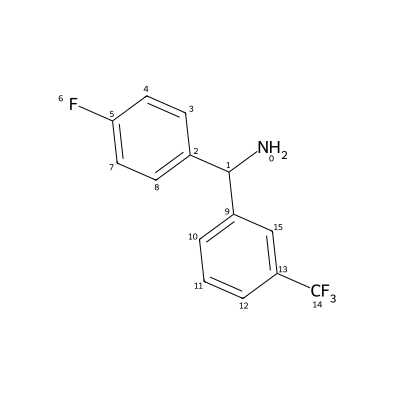 NC(c1ccc(F)cc1)c1cccc(C(F)(F)F)c1